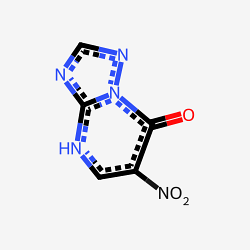 O=c1c([N+](=O)[O-])c[nH]c2ncnn12